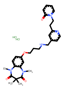 CCN1C(=O)C(C)(C)C(=O)N(C)c2cc(OCCCNCc3ccnc(CCn4ccccc4=O)c3)ccc21.Cl.Cl